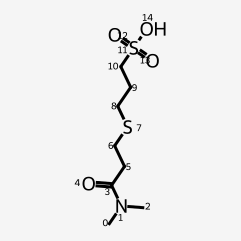 CN(C)C(=O)CCSCCCS(=O)(=O)O